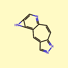 c1nnc2ccc3ncc4c(c3cc1-2)N4